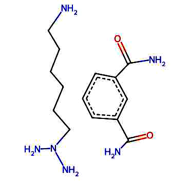 NC(=O)c1cccc(C(N)=O)c1.NCCCCCCN(N)N